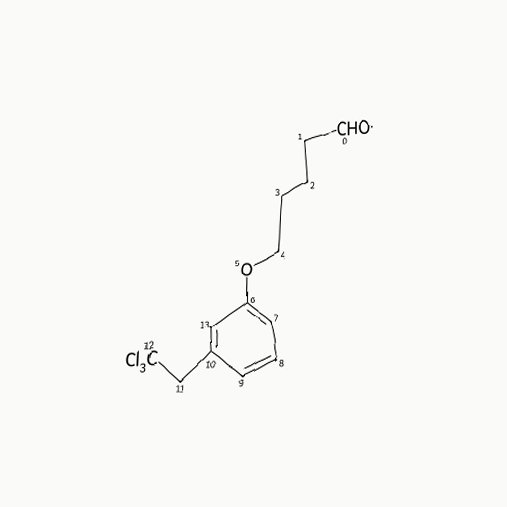 O=[C]CCCCOc1cccc(CC(Cl)(Cl)Cl)c1